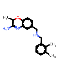 Cc1cccc(CNCc2ccc3c(c2)N=C(N)C(C)O3)c1C